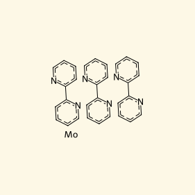 [Mo].c1ccc(-c2ccccn2)nc1.c1ccc(-c2ccccn2)nc1.c1ccc(-c2ccccn2)nc1